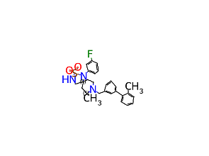 Cc1ccccc1-c1cccc(CN2CC[C@]3(CNS(=O)(=O)N3c3cccc(F)c3)C[C@@H]2C)c1